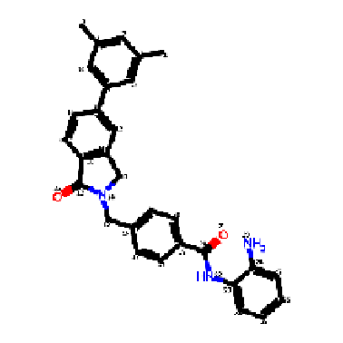 Cc1cc(C)cc(-c2ccc3c(c2)CN(Cc2ccc(C(=O)Nc4ccccc4N)cc2)C3=O)c1